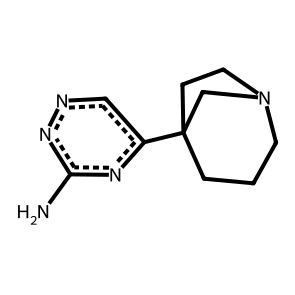 Nc1nncc(C23CCCN(CC2)C3)n1